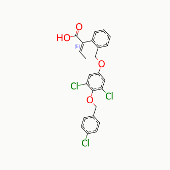 C/C=C(/C(=O)O)c1ccccc1COc1cc(Cl)c(OCc2ccc(Cl)cc2)c(Cl)c1